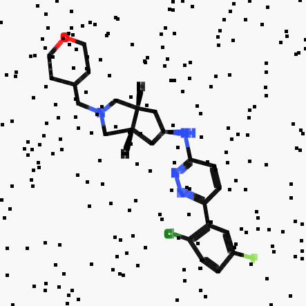 Fc1ccc(Cl)c(-c2ccc(N[C@H]3C[C@@H]4CN(CC5CCOCC5)C[C@@H]4C3)nn2)c1